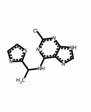 CC(Nc1nc(Cl)nc2[nH]cnc12)c1nccs1